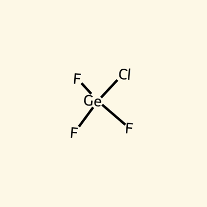 [F][Ge]([F])([F])[Cl]